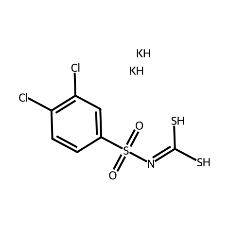 O=S(=O)(N=C(S)S)c1ccc(Cl)c(Cl)c1.[KH].[KH]